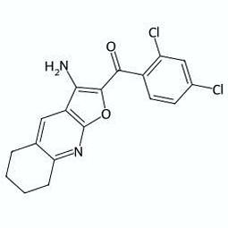 Nc1c(C(=O)c2ccc(Cl)cc2Cl)oc2nc3c(cc12)CCCC3